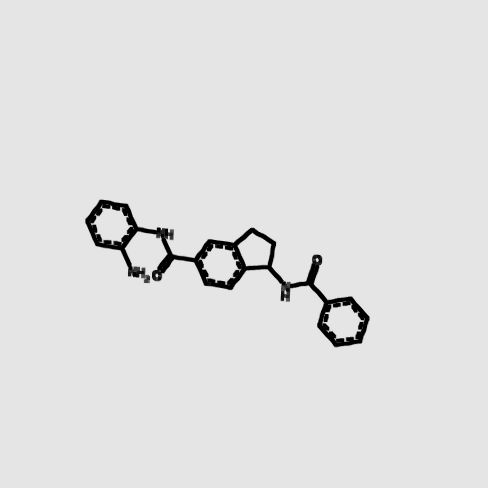 Nc1ccccc1NC(=O)c1ccc2c(c1)CCC2NC(=O)c1ccccc1